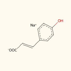 O=C([O-])C=Cc1ccc(O)cc1.[Na+]